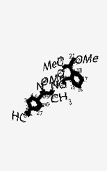 C#Cc1ccc(C(=N/OC)/C(C)=N/OCc2ccccc2/C(=C\OC)C(=O)OC)cc1